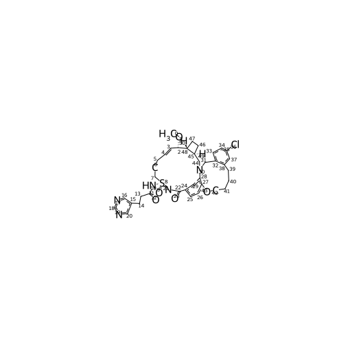 CO[C@H]1/C=C/CCC[S@@](=O)(NC(=O)CCc2cncnc2)=NC(=O)c2ccc3c(c2)N(Cc2ccc(Cl)cc2CCCCO3)C[C@@H]2CC[C@H]21